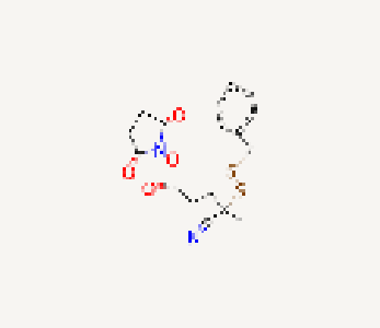 CC(C#N)(CCC(=O)ON1C(=O)CCC1=O)SSCc1ccccc1